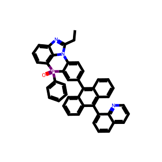 CCc1nc2cccc3c2n1-c1ccc(-c2c4ccccc4c(-c4cccc5cccnc45)c4ccccc24)cc1P3(=O)c1ccccc1